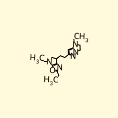 CCc1nc2c(o1)N(CC)CC2CCc1cc2n(n1)CCN2CC